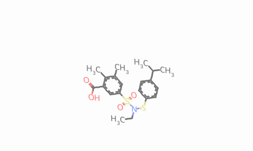 CCN(Sc1ccc(C(C)C)cc1)S(=O)(=O)c1cc(C)c(C)c(C(=O)O)c1